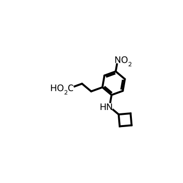 O=C(O)CCc1cc([N+](=O)[O-])ccc1NC1CCC1